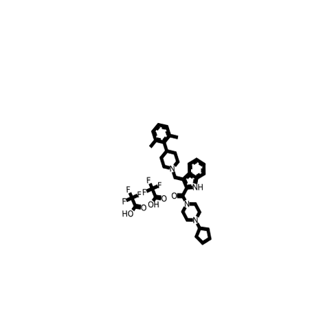 Cc1cccc(C)c1C1CCN(Cc2c(C(=O)N3CCN(C4CCCC4)CC3)[nH]c3ccccc23)CC1.O=C(O)C(F)(F)F.O=C(O)C(F)(F)F